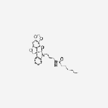 CCCCCCC(=O)NCCCN1C(=O)C2(COc3cc4c(cc32)OCO4)c2ccccc21